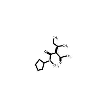 CC/C(C)=C(/C(C)=O)C(=O)N(C)C1CCCC1